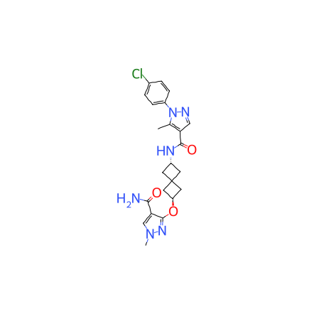 Cc1c(C(=O)N[C@H]2CC3(C2)C[C@H](Oc2nn(C)cc2C(N)=O)C3)cnn1-c1ccc(Cl)cc1